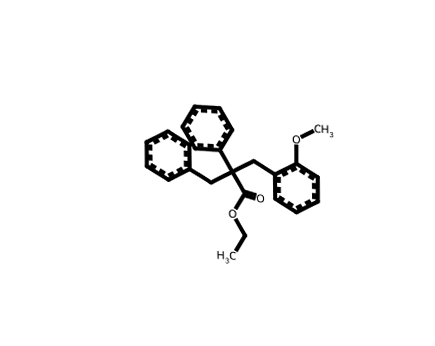 CCOC(=O)C(Cc1ccccc1)(Cc1ccccc1OC)c1ccccc1